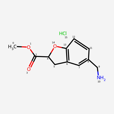 COC(=O)C1Cc2cc(CN)ccc2O1.Cl